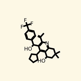 C=C(C)c1nc2c(c(C3CCCC3)c1C(O)c1ccc(C(F)(F)F)cc1)C(O)CC(C)(C)C2